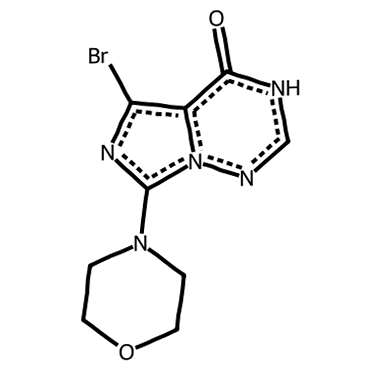 O=c1[nH]cnn2c(N3CCOCC3)nc(Br)c12